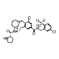 CCS(=O)(=O)c1ccc(Cl)cc1CNC(=O)c1cc(Cl)c(CN2CCC[C@H](NC(=O)[C@@H]3CCCN3)C2)c(C(F)(F)F)c1